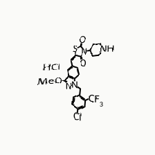 COc1nn(Cc2ccc(Cl)cc2C(F)(F)F)c2ccc(C=C3SC(=O)N(C4CCNCC4)C3=O)cc12.Cl